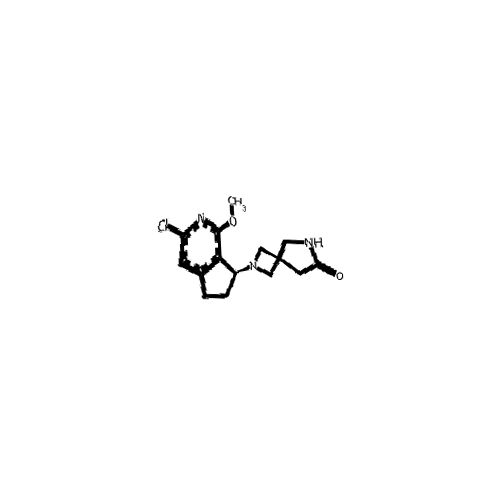 COc1nc(Cl)cc2c1[C@@H](N1CC3(CNC(=O)C3)C1)CC2